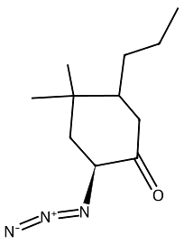 CCCC1CC(=O)[C@@H](N=[N+]=[N-])CC1(C)C